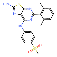 Cc1cccc(C)c1-c1nc(Nc2ccc(S(C)(=O)=O)cc2)c2nc(N)sc2n1